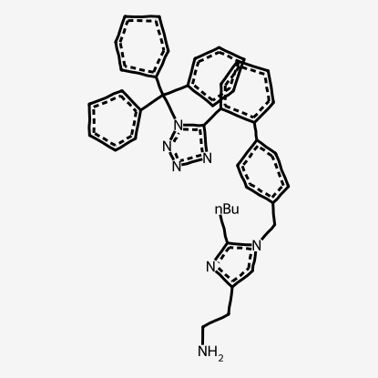 CCCCc1nc(CCN)cn1Cc1ccc(-c2ccccc2-c2nnnn2C(c2ccccc2)(c2ccccc2)c2ccccc2)cc1